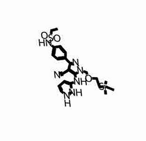 CCS(=O)(=O)Nc1ccc(-c2nn(COCC[Si](C)(C)C)c(NC3=CC=CNN3)c2C#N)cc1